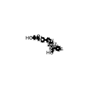 CCc1nc2ccc(C3CCN(CC(=O)N4CC(O)C4)CC3)cn2c1N(C)C1NC(c2ccc(F)cc2)=C(CO)S1